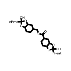 CCCCCC1(O)OC2CCC(COC(=O)C3CCC4OC(O)(CCCCC)OC4C3)CC2O1